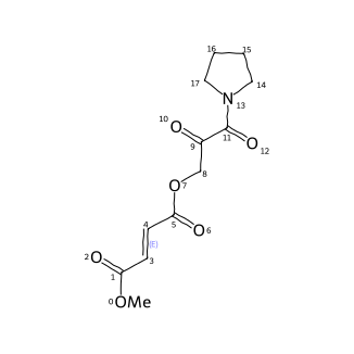 COC(=O)/C=C/C(=O)OCC(=O)C(=O)N1CCCC1